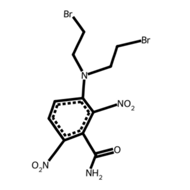 NC(=O)c1c([N+](=O)[O-])ccc(N(CCBr)CCBr)c1[N+](=O)[O-]